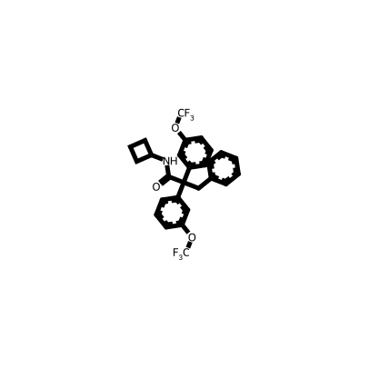 O=C(NC1CCC1)C(Cc1ccccc1)(c1cccc(OC(F)(F)F)c1)c1cccc(OC(F)(F)F)c1